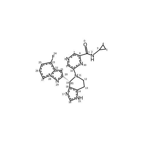 O=C(NC1CC1)c1cncc(N2CCc3[nH]cnc3[C@@H]2c2cc3c(F)cccn3n2)n1